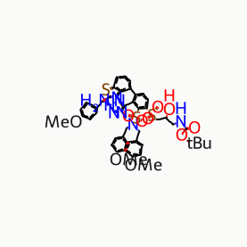 COc1ccc(CN(Cc2ccc(OC)cc2)S(=O)(=O)c2c(S(=O)(=O)CC(O)CNC(=O)OC(C)(C)C)ccc(-c3cccc4sc(N)nc34)c2-c2nnn(Cc3ccc(OC)cc3)n2)cc1